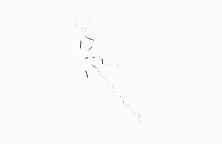 C=C/C(=C(\CCCCCCCCCCCC)C(=O)O)S(=O)(=O)c1ccc(N(CC)CC)cc1